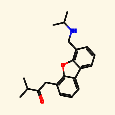 CC(C)NCc1cccc2c1oc1c(CC(=O)C(C)C)cccc12